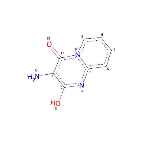 Nc1c(O)nc2ccccn2c1=O